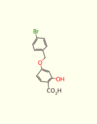 O=C(O)c1ccc(OCc2ccc(Br)cc2)cc1O